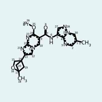 Cc1cnc2c(NC(=O)c3cn4cc(C56COC(C)(C5)C6)nc4nc3OC(C)C)cnn2c1